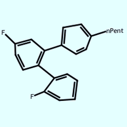 CCCCCc1ccc(-c2cc(F)ccc2-c2ccccc2F)cc1